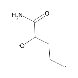 [CH2]CCC([O])C(N)=O